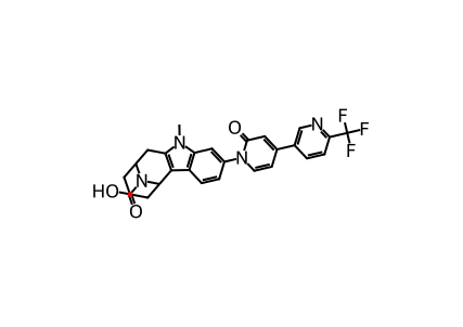 Cn1c2c(c3ccc(-n4ccc(-c5ccc(C(F)(F)F)nc5)cc4=O)cc31)C1CCCC(C2)N1C(=O)O